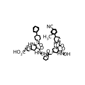 CC(C)N(C[C@@H]1CN[C@H](C(=O)N2CCC(c3ccccc3)CC2)[C@@H](C(=O)NO)C1)C(=O)O.Cc1cc(C#N)ccc1C1CCN(C(=O)[C@H]2NC[C@@H](CC(=O)N3CCCC3)C[C@@H]2C(=O)NO)CC1